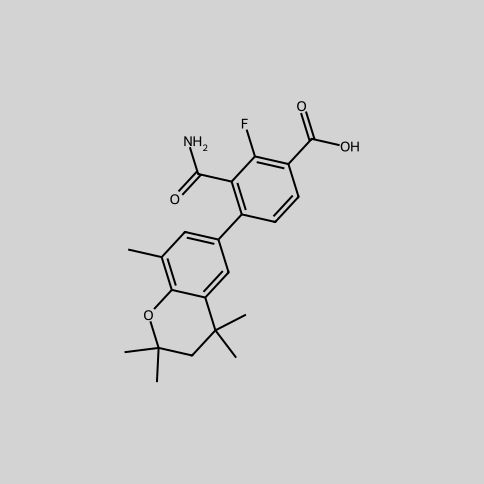 Cc1cc(-c2ccc(C(=O)O)c(F)c2C(N)=O)cc2c1OC(C)(C)CC2(C)C